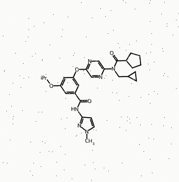 CC(C)Oc1cc(Oc2cnc(N(CC3CC3)C(=O)C3CCCC3)cn2)cc(C(=O)Nc2ccn(C)n2)c1